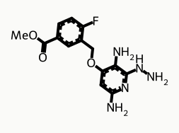 COC(=O)c1ccc(F)c(COc2cc(N)nc(NN)c2N)c1